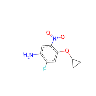 Nc1cc([N+](=O)[O-])c(OC2CC2)cc1F